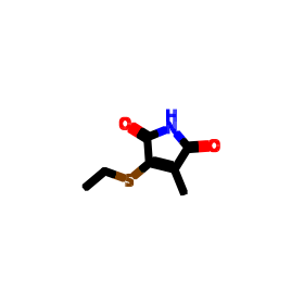 CCSC1=C(C)C(=O)NC1=O